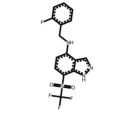 O=S(=O)(c1ccc(NCc2ccccc2F)c2cn[nH]c12)C(F)(F)F